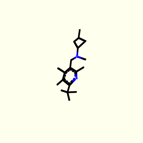 Cc1nc(C(C)(C)C)c(C)c(C)c1CN(C)C1CC(C)C1